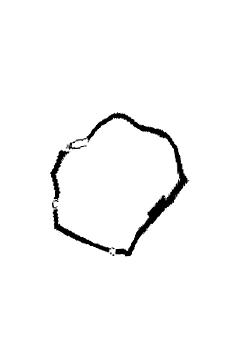 [CH]1CCCCC/C=C/CCCCCC1